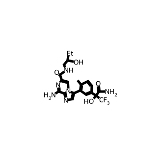 CCC(O)CNC(=O)c1cn2c(-c3cc(C(O)(C(N)=O)C(F)(F)F)ccc3C)cnc2c(N)n1